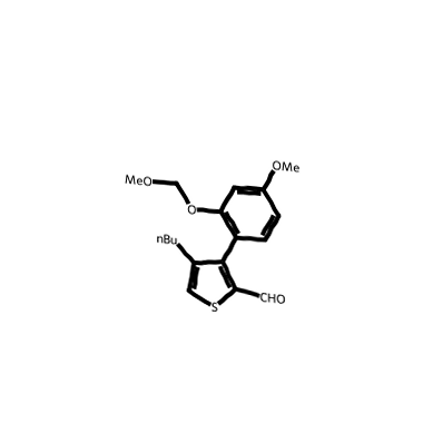 CCCCc1csc(C=O)c1-c1ccc(OC)cc1OCOC